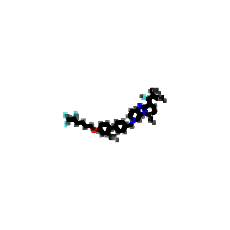 C=C(C)/C(F)=C(\C=C/C)c1nc2ccn(Cc3ccc(-c4ccc(OCCCCC(F)=C(F)F)cc4C(F)(F)F)cc3)cc-2n1